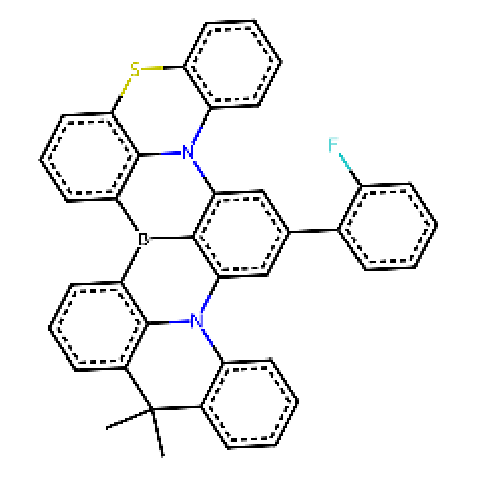 CC1(C)c2ccccc2N2c3cc(-c4ccccc4F)cc4c3B(c3cccc5c3N4c3ccccc3S5)c3cccc1c32